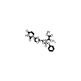 CC(C)OC(=O)C(C)NP(=O)(OC[C@H]1OC[C@@H](n2ccc(=O)[nH]c2=O)O1)Oc1ccccc1